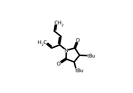 C=C/C=C(\C=C)N1C(=O)C(C(C)(C)C)C(C(C)(C)C)C1=O